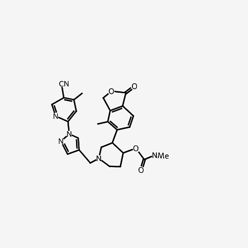 CNC(=O)OC1CCN(Cc2cnn(-c3cc(C)c(C#N)cn3)c2)CC1c1ccc2c(c1C)COC2=O